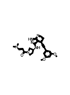 COc1cc(C#Cc2ccnc3[nH]nc(N[C@H]4CCN(C(=O)C=CN(C)C)C4)c23)cc(OC)c1